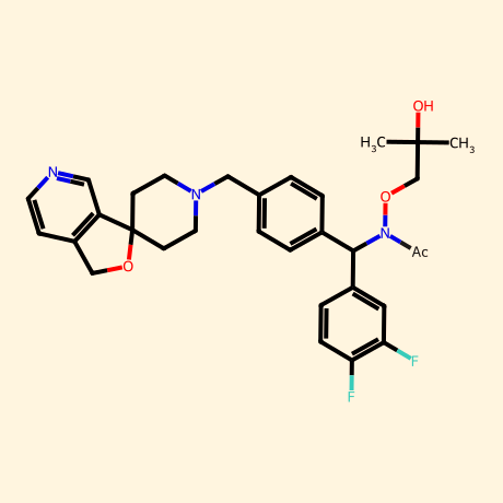 CC(=O)N(OCC(C)(C)O)C(c1ccc(CN2CCC3(CC2)OCc2ccncc23)cc1)c1ccc(F)c(F)c1